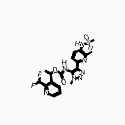 Cc1nc(-c2nnn(C)c2NC(=O)OC(C)c2cccnc2C(F)F)ccc1NS(C)(=O)=O